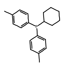 Cc1ccc(P(c2ccc(C)cc2)C2CCCCC2)cc1